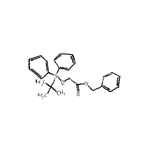 CC(C)(C)[Si](OCC(=O)OCc1ccccc1)(c1ccccc1)c1ccccc1